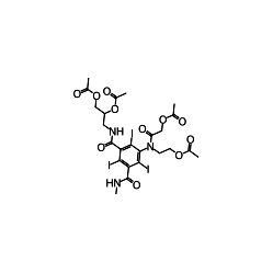 CNC(=O)c1c(I)c(C(=O)NCC(COC(C)=O)OC(C)=O)c(I)c(N(CCOC(C)=O)C(=O)COC(C)=O)c1I